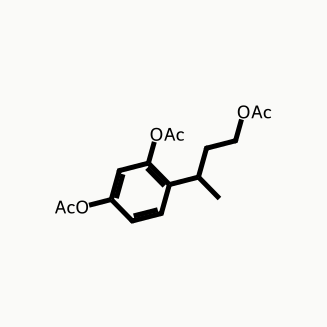 CC(=O)OCCC(C)c1ccc(OC(C)=O)cc1OC(C)=O